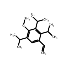 C=Cc1cc(C(C)C)c(O[SiH3])c(C(C)C)c1C(C)C